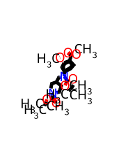 COC(=O)c1ccc(N(CC2CCN(C(=O)OC(C)(C)C)CC2)C(=O)OC(C)(C)C)cc1OC